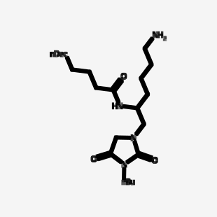 CCCCCCCCCCCCCC(=O)NC(CCCCN)CN1CC(=O)N(CCCC)C1=O